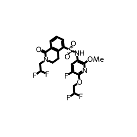 COc1nc(OCC(F)F)c(F)cc1NS(=O)(=O)c1cccc2c1CCN(CC(F)F)C2=O